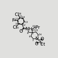 CCS(=O)(=O)N1CCC(CNC(=O)c2ccc(Cl)c(F)c2Cl)(CC(C)C)CC1